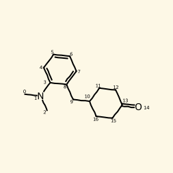 CN(C)c1ccccc1CC1CCC(=O)CC1